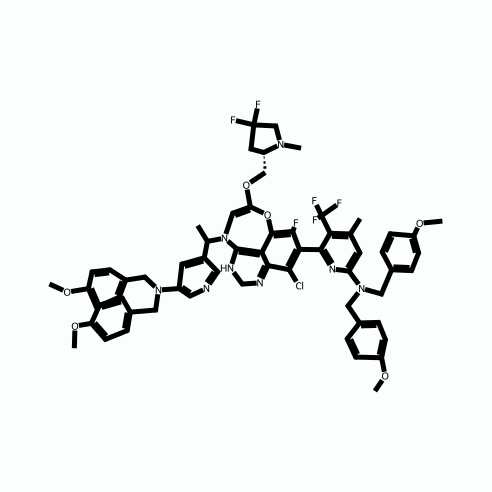 COc1ccc(CN(Cc2ccc(OC)cc2)c2cncc(C(C)N3C=C(OC[C@@H]4CC(F)(F)CN4C)Oc4c(F)c(-c5nc(N(Cc6ccc(OC)cc6)Cc6ccc(OC)cc6)cc(C)c5C(F)(F)F)c(Cl)c5c4=C3NCN=5)c2)cc1